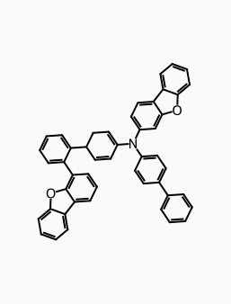 C1=CC(c2ccccc2-c2cccc3c2oc2ccccc23)CC=C1N(c1ccc(-c2ccccc2)cc1)c1ccc2c(c1)oc1ccccc12